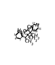 CC(c1ccccc1)C(C)(C)C(C)(c1ccncc1)C(C)C